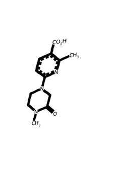 Cc1nc(N2CCN(C)C(=O)C2)ccc1C(=O)O